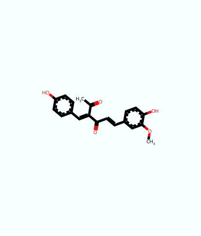 COc1cc(C=CC(=O)C(=Cc2ccc(O)cc2)C(C)=O)ccc1O